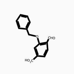 O=Cc1ccc(C(=O)O)cc1OCc1ccccc1